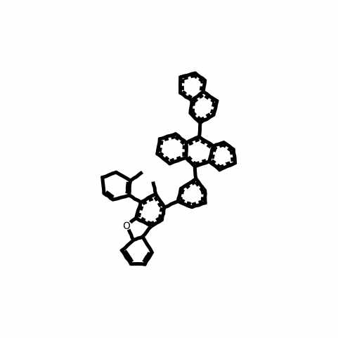 CC1=C(c2c(C)c(-c3cccc(-c4c5ccccc5c(-c5ccc6ccccc6c5)c5ccccc45)c3)cc3c2OC2C=CC=CC32)C=CCC1